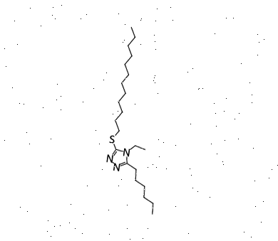 CCCCCCCCCCCCSc1nnc(CCCCCC)n1CC